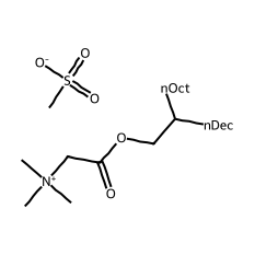 CCCCCCCCCCC(CCCCCCCC)COC(=O)C[N+](C)(C)C.CS(=O)(=O)[O-]